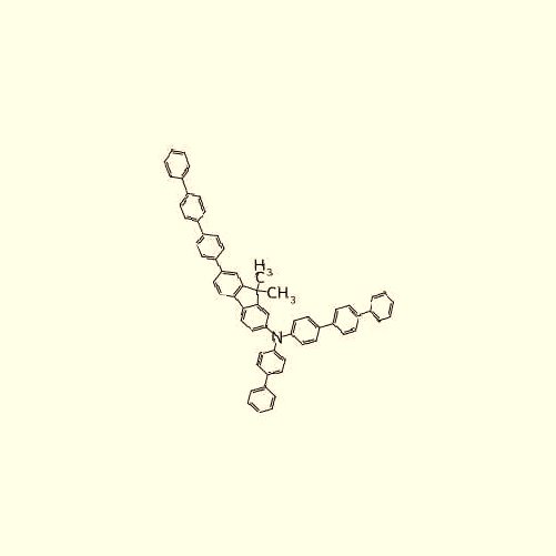 CC1(C)c2cc(-c3ccc(-c4ccc(-c5ccccc5)cc4)cc3)ccc2-c2ccc(N(c3ccc(-c4ccccc4)cc3)c3ccc(-c4ccc(-c5ccccc5)cc4)cc3)cc21